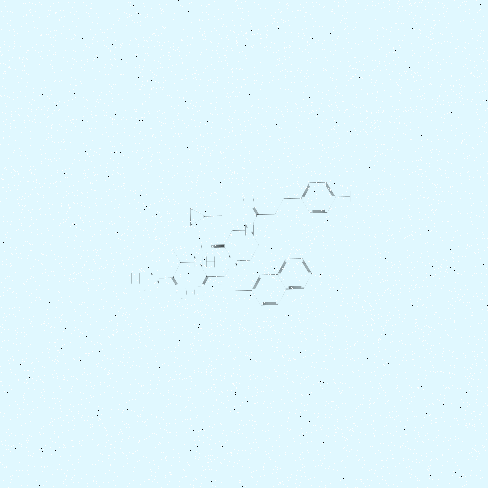 CC(NC(=O)[C@@H](Cc1ccc2ccccc2c1)N1CCN(C(=O)[CH]Cc2ccc(F)cc2)[C@@H](CC2CC2)C1=O)C(N)=O